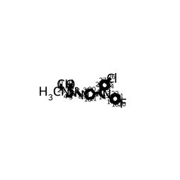 CC(C)N1CCN(CCN2CCC(C3CN(c4ccc(F)cc4)c4cc(Cl)ccc43)CC2)C1=O